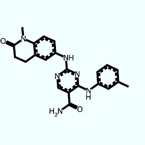 Cc1cccc(Nc2nc(Nc3ccc4c(c3)CCC(=O)N4C)ncc2C(N)=O)c1